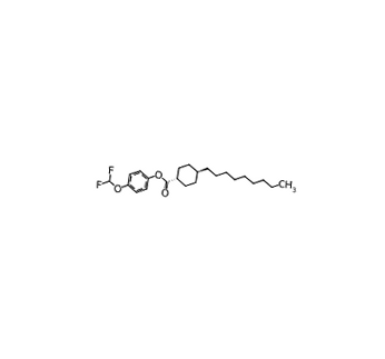 CCCCCCCCC[C@H]1CC[C@H](C(=O)Oc2ccc(OC(F)F)cc2)CC1